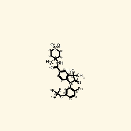 CC1(NC(=O)c2ccc3c(c2)C(C)(C)C(=O)N3c2cc(OC(F)(F)F)ccc2F)CCS(=O)(=O)CC1